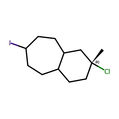 C[C@@]1(Cl)CCC2CCC(I)CCC2C1